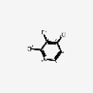 Fc1c(Cl)c[c]nc1Cl